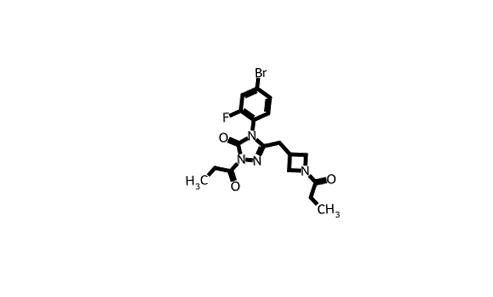 CCC(=O)N1CC(Cc2nn(C(=O)CC)c(=O)n2-c2ccc(Br)cc2F)C1